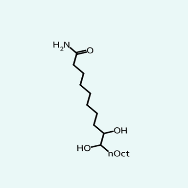 CCCCCCCCC(O)C(O)CCCCCCCC(N)=O